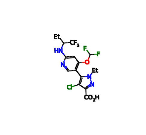 CCC(Nc1cc(OC(F)F)c(-c2c(Cl)c(C(=O)O)nn2CC)cn1)C(F)(F)F